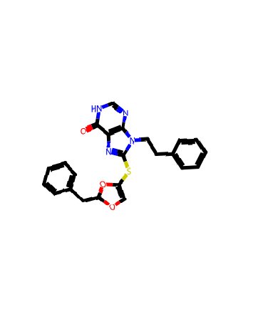 O=c1[nH]cnc2c1nc(SC1=COC(Cc3ccccc3)O1)n2CCc1ccccc1